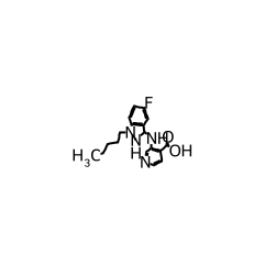 CCCCCN1NC(Nc2cnccc2C(=O)O)c2cc(F)ccc21